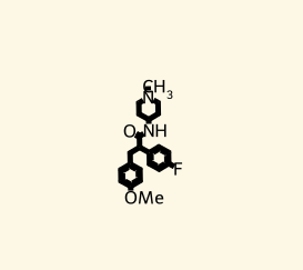 COc1ccc(CC(C(=O)NC2CCN(C)CC2)c2ccc(F)cc2)cc1